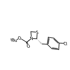 CC(C)(C)OC(=O)N1CS[C@@H]1Cc1ccc(Cl)cc1